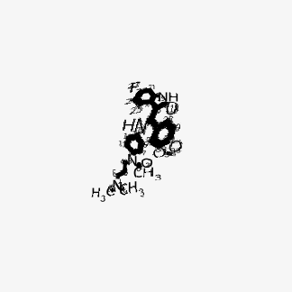 CC(=O)N(CCCN(C)C)c1ccc(NC(=C2C(=O)Nc3cc(F)ccc32)c2ccc3c(c2)OCO3)cc1